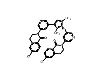 Cc1cc(-c2cncc(N3CCc4cc(Cl)ccc4C3=O)c2)n(C)n1.O=C1c2ccc(Cl)cc2CCN1c1cncc(Br)c1